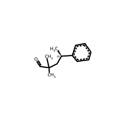 C[C@H](CC(C)(C)C=O)c1ccccc1